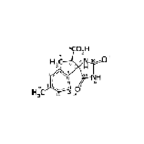 Cc1ccc(C2(C(C)C(=O)O)NC(=O)NC2=O)cc1